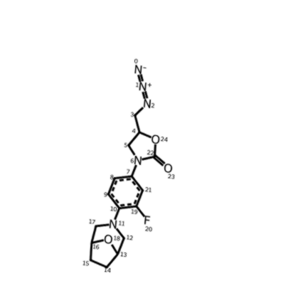 [N-]=[N+]=NCC1CN(c2ccc(N3CC4CCC(C3)O4)c(F)c2)C(=O)O1